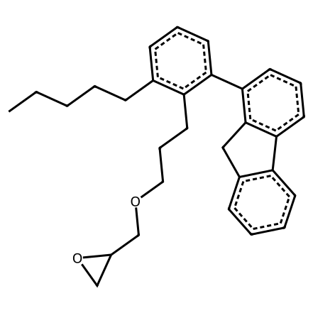 CCCCCc1cccc(-c2cccc3c2Cc2ccccc2-3)c1CCCOCC1CO1